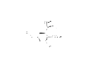 COc1c(N=O)cc(CBr)cc1C1=[N+](C)C=N1